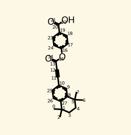 CC1(C)CCC(C)(C)c2cc(C#CC(=O)Oc3ccc(C(=O)O)cc3)ccc21